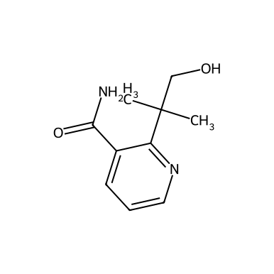 CC(C)(CO)c1ncccc1C(N)=O